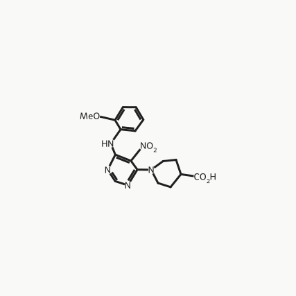 COc1ccccc1Nc1ncnc(N2CCC(C(=O)O)CC2)c1[N+](=O)[O-]